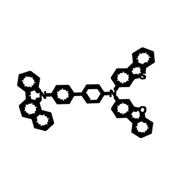 C1=CC(N(c2ccc3c(c2)oc2ccccc23)c2ccc3c(c2)sc2ccccc23)CC=C1c1ccc(-n2c3ccccc3c3ccc4ccccc4c32)cc1